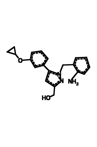 Nc1ccccc1Cn1nc(CO)cc1-c1cccc(OC2CC2)c1